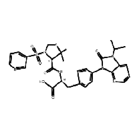 CC(C)n1c(=O)n(-c2ccc(C[C@H](NC(=O)[C@H]3N(S(=O)(=O)c4cccnc4)CSC3(C)C)C(=O)O)cc2)c2ncccc21